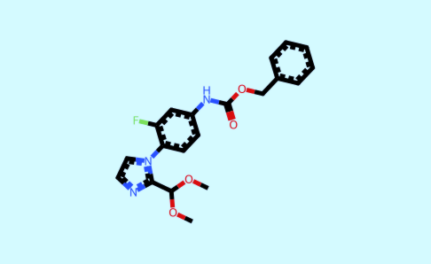 COC(OC)c1nccn1-c1ccc(NC(=O)OCc2ccccc2)cc1F